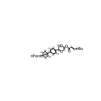 CCCCC=CC(=O)O[C@@H]1CO[C@@H](c2ccc(C34CCC(CCCCC)(CC3)CC4)cc2)CO1